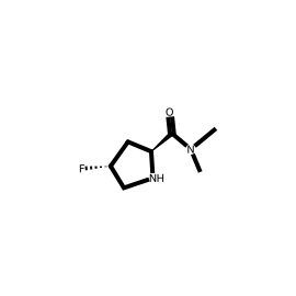 CN(C)C(=O)[C@@H]1C[C@@H](F)CN1